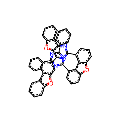 c1ccc(-c2nc(-c3ccccc3)nc(-c3cccc4oc5cccc(-c6nc(-c7ccc8c(c7)oc7ccccc78)c7oc8ccccc8c7n6)c5c34)n2)cc1